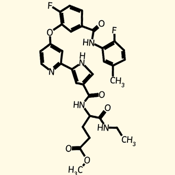 CCNC(=O)C(CCC(=O)OC)NC(=O)c1c[nH]c(-c2cc(Oc3cc(C(=O)Nc4cc(C)ccc4F)ccc3F)ccn2)c1